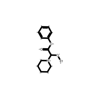 CCOC(C(=O)Oc1ccccc1)N1CCCCC1